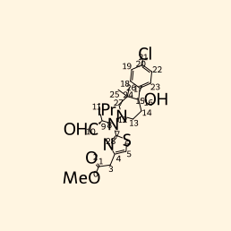 COC(=O)Cc1csc(N([C@@H](C=O)C(C)C)N2CC[C@](O)(c3ccc(Cl)cc3)C(C)(C)C2)n1